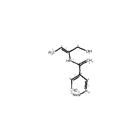 C=C(N/C(=C\C)CO)C(/C=N\NC)=C/C=O